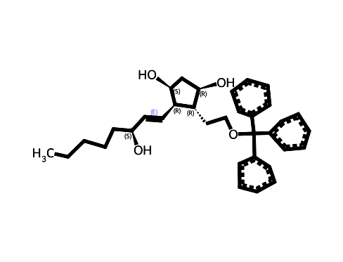 CCCCC[C@H](O)/C=C/[C@@H]1[C@@H](CCOC(c2ccccc2)(c2ccccc2)c2ccccc2)[C@H](O)C[C@@H]1O